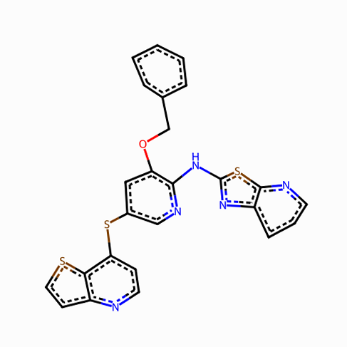 c1ccc(COc2cc(Sc3ccnc4ccsc34)cnc2Nc2nc3cccnc3s2)cc1